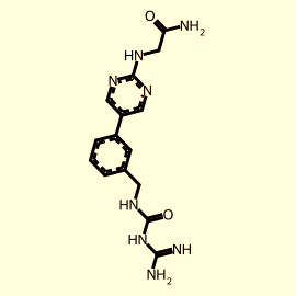 N=C(N)NC(=O)NCc1cccc(-c2cnc(NCC(N)=O)nc2)c1